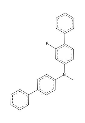 CN(c1ccc(-c2ccccc2)cc1)c1ccc(-c2ccccc2)c(F)c1